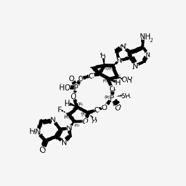 Nc1ncnc2c1ncn2[C@H]1[C@H](O)[C@@H]2O[P@](=O)(S)OC[C@H]3O[C@@H](n4cnc5c(=O)[nH]cnc54)[C@H](F)[C@@H]3OP(=O)(O)OCC23C[C@H]13